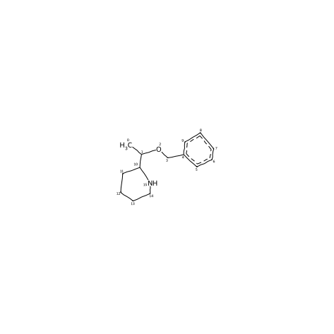 CC(OCc1ccccc1)C1CCCCN1